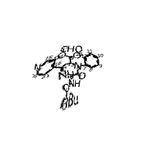 CCCCONCC(=O)N(c1ccccc1)[C@@H](C(=N)c1ccncc1)C(=O)OC=O